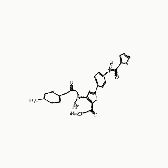 COC(=O)c1sc(-c2ccc(NC(=O)c3cccs3)cc2)cc1N(C(=O)C1CCC(C)CC1)C(C)C